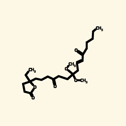 CCCCCC(=O)/C=C/CC(CCC(=O)CCCC1(CC)CCC(=O)O1)(OC)OC